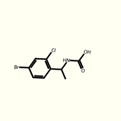 CC(NC(=O)O)c1ccc(Br)cc1Cl